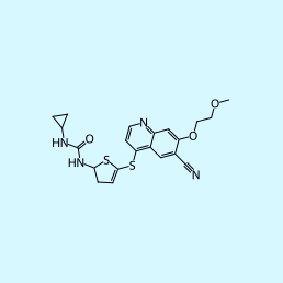 COCCOc1cc2nccc(SC3=CCC(NC(=O)NC4CC4)S3)c2cc1C#N